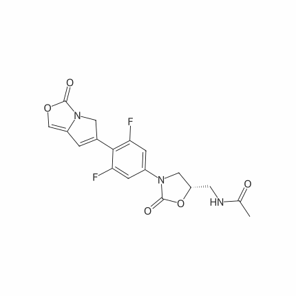 CC(=O)NC[C@H]1CN(c2cc(F)c(C3=Cc4coc(=O)n4C3)c(F)c2)C(=O)O1